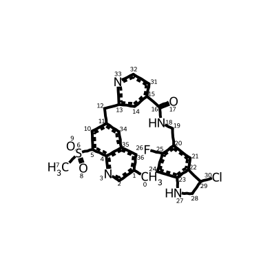 Cc1cnc2c(S(C)(=O)=O)cc(Cc3cc(C(=O)NCc4cc5c(cc4F)NCC5Cl)ccn3)cc2c1